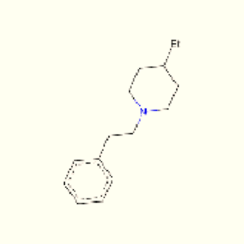 CCC1CCN(CCc2ccccc2)CC1